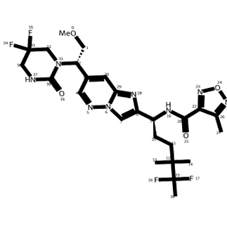 COC[C@H](c1cnn2cc([C@H](CCC(C)(C)C(C)(F)F)NC(=O)c3nonc3C)nc2c1)N1CC(F)(F)CNC1=O